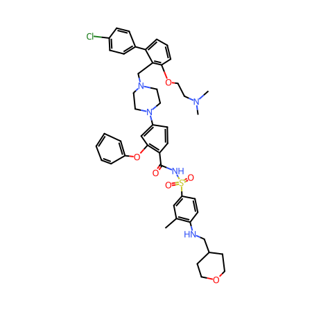 Cc1cc(S(=O)(=O)NC(=O)c2ccc(N3CCN(Cc4c(OCCN(C)C)cccc4-c4ccc(Cl)cc4)CC3)cc2Oc2ccccc2)ccc1NCC1CCOCC1